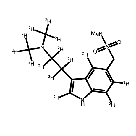 [2H]c1[nH]c2c([2H])c([2H])c(CS(=O)(=O)NC)c([2H])c2c1C([2H])([2H])C([2H])([2H])N(C([2H])([2H])[2H])C([2H])([2H])[2H]